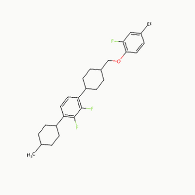 CCc1ccc(OCC2CCC(c3ccc(C4CCC(C)CC4)c(F)c3F)CC2)c(F)c1